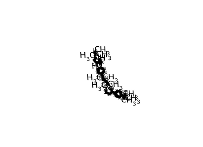 CCC(C)(C)N1C[C@H]2C[C@@H]1CN2c1ccc(C(C)(C)CCC(C)(C)N2CCCC(c3ccc(C(C)(C)C)cc3)C2)cc1